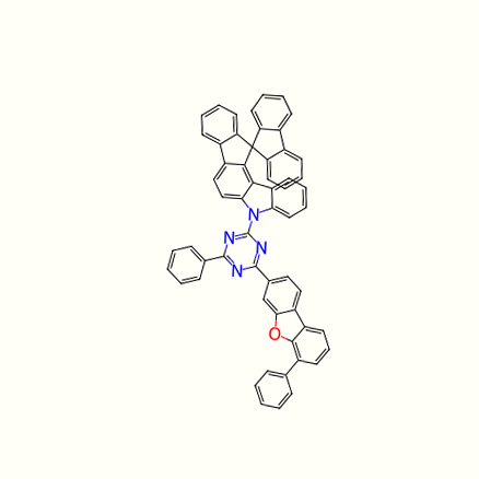 c1ccc(-c2nc(-c3ccc4c(c3)oc3c(-c5ccccc5)cccc34)nc(-n3c4ccccc4c4c5c(ccc43)-c3ccccc3C53c4ccccc4-c4ccccc43)n2)cc1